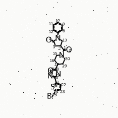 O=C(C1CC(=O)N(c2ccccc2)C1)N1CCC(c2nc(-c3ccc(Br)s3)no2)CC1